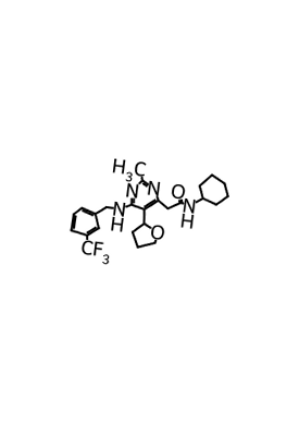 Cc1nc(CC(=O)NC2CCCCC2)c(C2CCCO2)c(NCc2cccc(C(F)(F)F)c2)n1